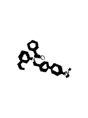 C/C=C\c1cccc(N(Cc2ccc(-c3ccc(N(C)C)cc3)cc2)C(=O)C2CCCCC2)c1